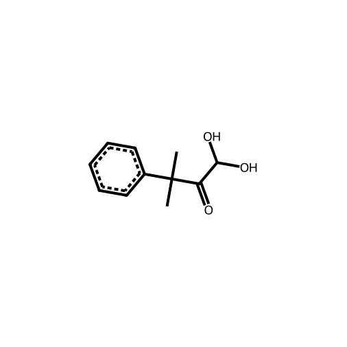 CC(C)(C(=O)C(O)O)c1ccccc1